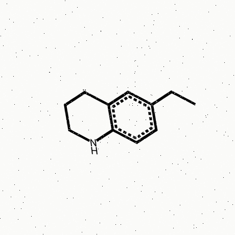 CCc1ccc2c(c1)[C]CCN2